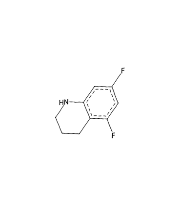 Fc1cc(F)c2c(c1)NCCC2